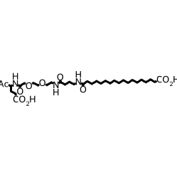 CC(=O)C(CCC(=O)O)NC(=O)COCCOCCNC(=O)CCCNC(=O)CCCCCCCCCCCCCCCCC(=O)O